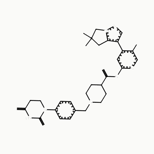 CC1(C)Cc2c(-c3cc(NC(=O)C4CCN(Cc5ccc(N6CCC(=O)NC6=O)cc5)CC4)ncc3Cl)cnn2C1